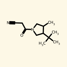 CC1CN(C(=O)CC#N)CC1C(C)(C)C